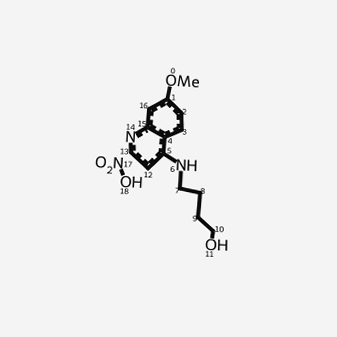 COc1ccc2c(NCCCCO)ccnc2c1.O=[N+]([O-])O